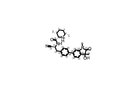 C[C@@H]1CC[C@H](C)N[C@@H]1C(=O)N[C@H](C#N)Cc1ccc(-c2ccc3c(c2)N(C)C(=O)C3(C)O)cc1